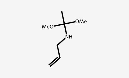 C=CCNC(C)(OC)OC